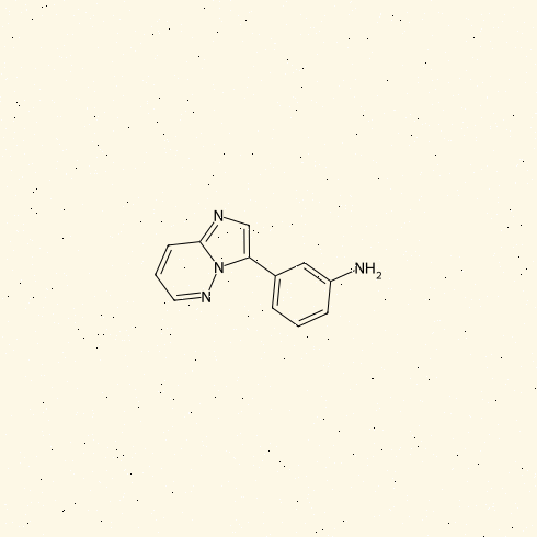 Nc1cccc(-c2cnc3cccnn23)c1